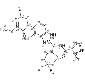 CC(C)n1ncnc1C(=O)NC(c1nc2c(F)c(C(CC(F)F)C(=O)NCC(F)(F)F)ccc2[nH]1)C1CCC(F)(F)CC1